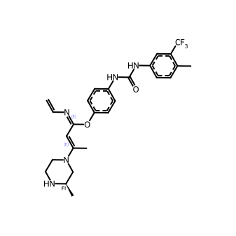 C=C/N=C(\C=C(/C)N1CCN[C@H](C)C1)Oc1ccc(NC(=O)Nc2ccc(C)c(C(F)(F)F)c2)cc1